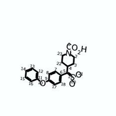 O=C(O)N1CCC(C(c2ccc(Oc3ccccc3)cc2)=S(=O)=O)CC1